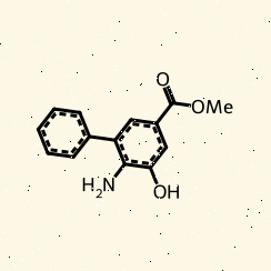 COC(=O)c1cc(O)c(N)c(-c2ccccc2)c1